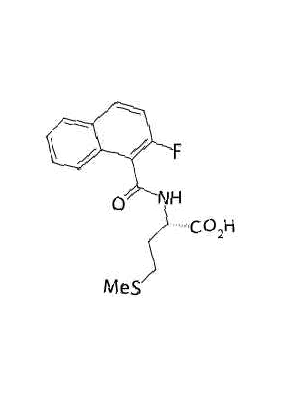 CSCC[C@H](NC(=O)c1c(F)ccc2ccccc12)C(=O)O